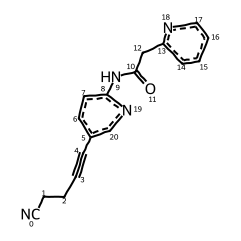 N#CCCC#Cc1ccc(NC(=O)Cc2ccccn2)nc1